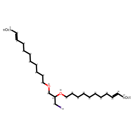 CCCCCCCCC=CCCCCCCCCOCC(CI)OCCCCCCCCC=CCCCCCCCC